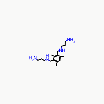 Cc1cc(C)c(CNCCCN)c(C)c1CNCCCN